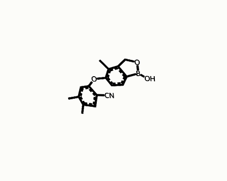 Cc1cc(C#N)c(Oc2ccc3c(c2C)COB3O)cc1C